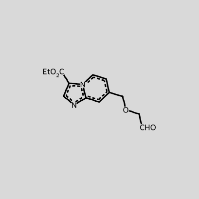 CCOC(=O)c1cnc2cc(COCC=O)ccn12